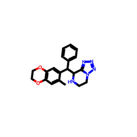 Cc1cc2c(cc1C(c1ccccc1)C1NCCn3nnnc31)OCCO2